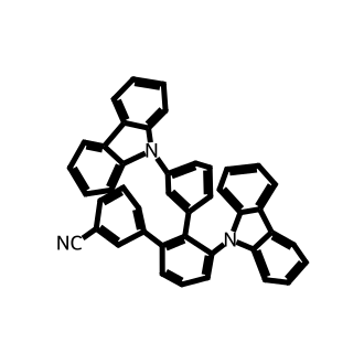 N#Cc1cccc(-c2cccc(-n3c4ccccc4c4ccccc43)c2-c2cccc(-n3c4ccccc4c4ccccc43)c2)c1